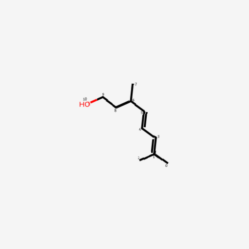 CC(C)=C/C=C/C(C)CCO